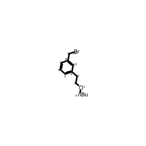 CCCCOCCc1cccc(CBr)c1